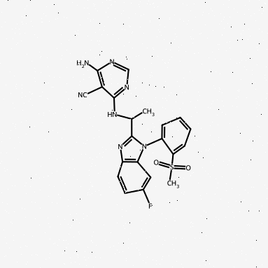 CC(Nc1ncnc(N)c1C#N)c1nc2ccc(F)cc2n1-c1ccccc1S(C)(=O)=O